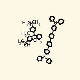 Cc1cc(N(C)C)ccc1C(c1ccccc1)c1ccc(N(C)C)cc1C.c1ccc(N(c2ccccc2)c2ccc(-c3ccc(-c4ccc(-c5ccc(N(c6ccccc6)c6ccccc6)cc5)cc4)cc3)cc2)cc1